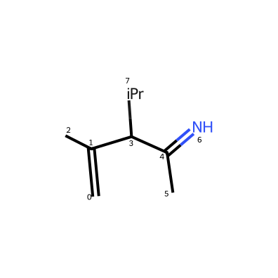 C=C(C)C(C(C)=N)C(C)C